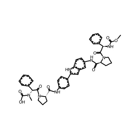 COC(=O)N[C@@H](C(=O)N1CCC[C@H]1C(=O)Nc1ccc2[nH]c(-c3ccc(NC(=O)[C@@H]4CCCN4C(=O)[C@@H](c4ccccc4)N(C)C(=O)O)cc3)cc2c1)c1ccccc1